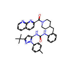 Cc1ccc(-n2nc(C(C)(C)C)cc2NC(=O)Nc2ccccc2CC2CCN(C(=O)c3ccc4cccnc4n3)CC2)cc1